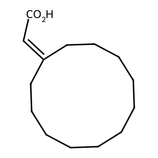 O=C(O)C=C1CCCCCCCCCCC1